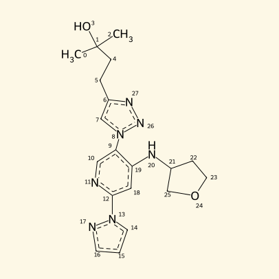 CC(C)(O)CCc1cn(-c2cnc(-n3cccn3)cc2NC2CCOC2)nn1